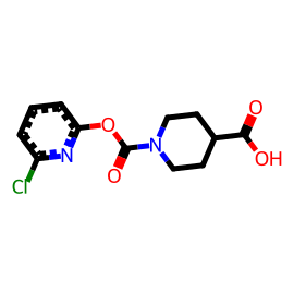 O=C(O)C1CCN(C(=O)Oc2cccc(Cl)n2)CC1